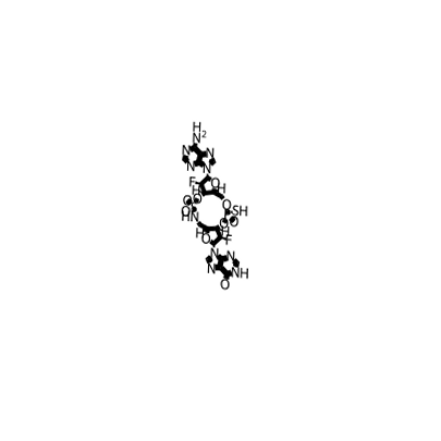 Nc1ncnc2c1ncn2[C@@H]1O[C@@H]2CO[P@@](=O)(S)O[C@H]3[C@@H](F)[C@H](n4cnc5c(=O)[nH]cnc54)O[C@@H]3CNS(=O)(=O)O[C@H]2[C@H]1F